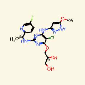 CC(C)Oc1cc(Nc2nc(N[C@@H](C)c3ccc(F)cn3)nc(OC[C@@H](O)CO)c2Cl)n[nH]1